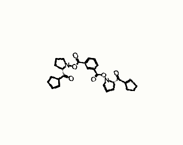 O=C(ON1CCC[C@H]1C(=O)C1CCCC1)c1cccc(C(=O)ON2CCC[C@H]2C(=O)C2CCCC2)c1